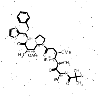 CC[C@H](C)[C@@H]([C@@H](CC(=O)N1CCC[C@H]1[C@H](OC)[C@@H](C)C(=O)N[C@@H](Cc1ccccc1)c1nccs1)OC)N(C)C(=O)[C@@H](NC(=O)C(C)(C)N)C(C)C